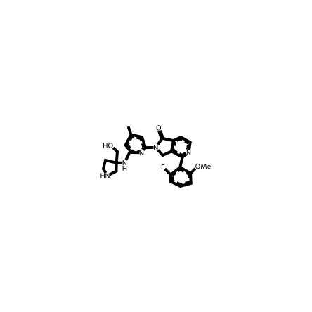 COc1cccc(F)c1-c1nccc2c1CN(c1cc(C)cc(NC3(CO)CCNC3)n1)C2=O